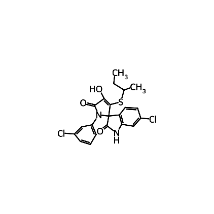 CCC(C)SC1=C(O)C(=O)N(c2cccc(Cl)c2)C12C(=O)Nc1cc(Cl)ccc12